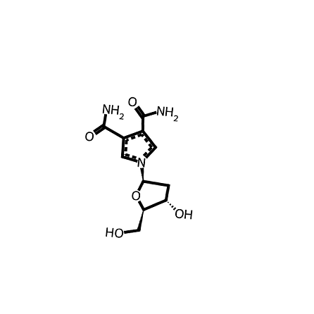 NC(=O)c1cn([C@H]2C[C@H](O)[C@@H](CO)O2)cc1C(N)=O